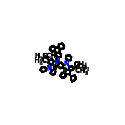 CC(C)(C)c1cc2c3c(c1)N(c1ccccc1)c1cc4c(cc1B3c1ccccc1C2c1ccccc1)B1c2ccccc2N(c2ccccc2)c2cc(C(C)(C)C)cc(c21)N4c1ccc2c3ccccc3c3ccccc3c2c1